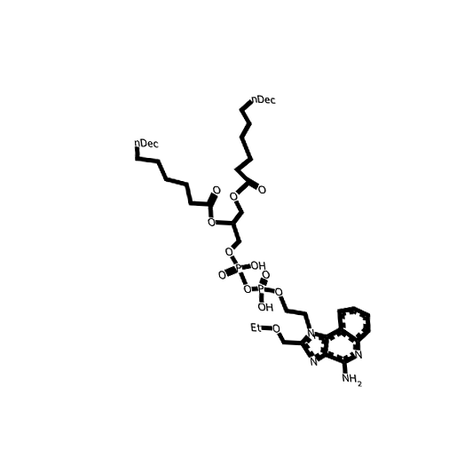 CCCCCCCCCCCCCCCC(=O)OCC(COP(=O)(O)OP(=O)(O)OCCn1c(COCC)nc2c(N)nc3ccccc3c21)OC(=O)CCCCCCCCCCCCCCC